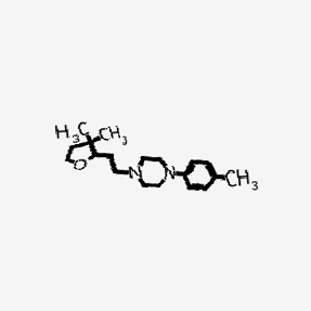 Cc1ccc(N2CCN(CCC3OCCC3(C)C)CC2)cc1